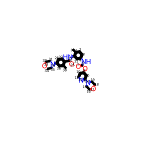 Cc1ccc(NC(=O)Oc2ccnc(N3CCOCC3)c2)cc1NC(=O)c1ccc(N2CCOCC2)cc1C